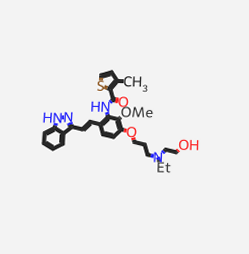 CCN(CCO)CCCOc1ccc(C=Cc2n[nH]c3ccccc23)c(NC(=O)c2sccc2C)c1OC